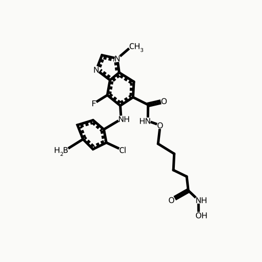 Bc1ccc(Nc2c(C(=O)NOCCCCC(=O)NO)cc3c(ncn3C)c2F)c(Cl)c1